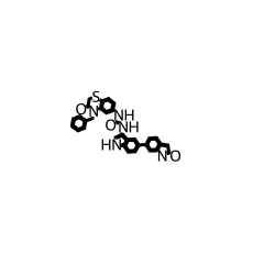 O=C1C=c2ccc(-c3ccc4[nH]cc(NC(=O)Nc5ccc6c(c5)N(Cc5ccccc5)C(=O)CS6)c4c3)cc2=N1